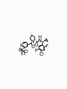 CCS(=O)(=O)c1cc(C(=O)N2C[C@H](C)C[C@@H]2C(=O)N[C@@H](c2cc(F)c(Cl)cc2F)C2CC2)ccn1